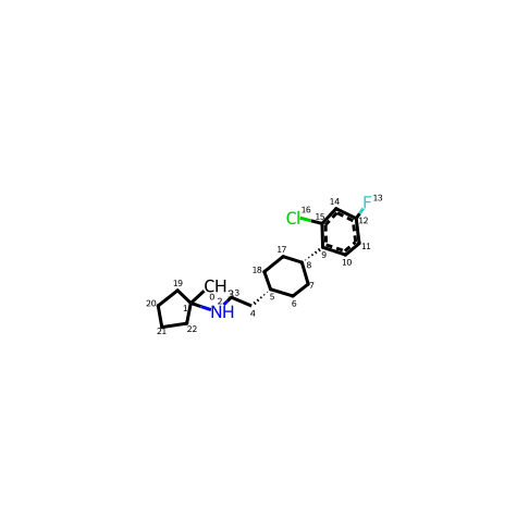 CC1(NCC[C@H]2CC[C@@H](c3ccc(F)cc3Cl)CC2)CCCC1